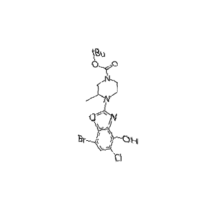 CC1CN(C(=O)OC(C)(C)C)CCN1c1nc2c(O)c(Cl)cc(Br)c2o1